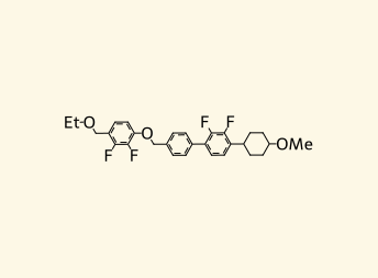 CCOCc1ccc(OCc2ccc(-c3ccc(C4CCC(OC)CC4)c(F)c3F)cc2)c(F)c1F